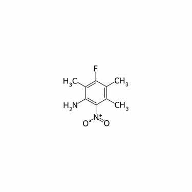 Cc1c(C)c([N+](=O)[O-])c(N)c(C)c1F